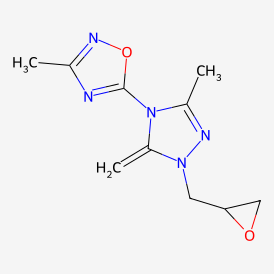 C=C1N(CC2CO2)N=C(C)N1c1nc(C)no1